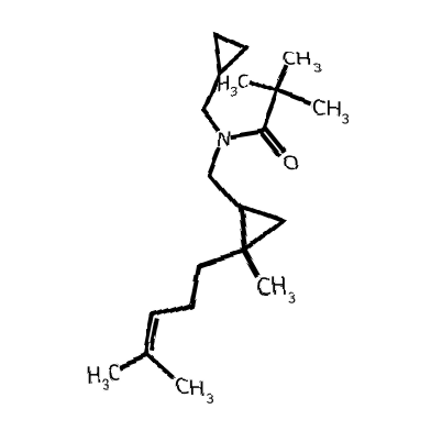 CC(C)=CCCC1(C)CC1CN(CC1CC1)C(=O)C(C)(C)C